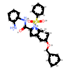 Nc1ccccc1NC(=O)c1cc2cc(OCc3ccccc3)ccc2n1S(=O)(=O)c1ccccc1